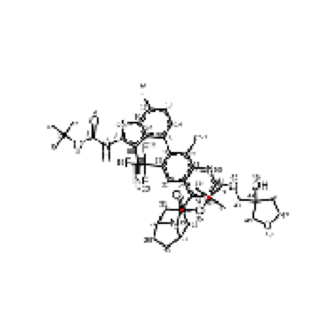 CC(C)(C)OC(=O)Nc1sc2c(F)ccc(-c3c(C(F)(F)F)cc4c(N5CC6CCC(C5)N6C(=O)OC(C)(C)C)nc(OCC5(O)CCOC5)nc4c3F)c2c1C#N